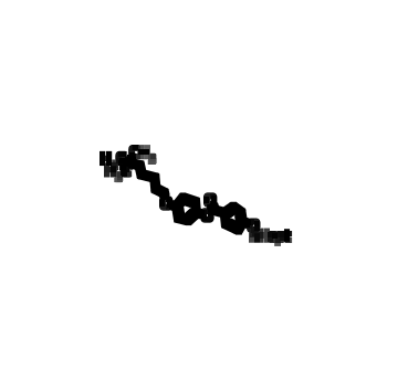 CCCCCCCOc1ccc(C(=O)Oc2ccc(OCCCCC[Si](C)(C)C)cc2)cc1